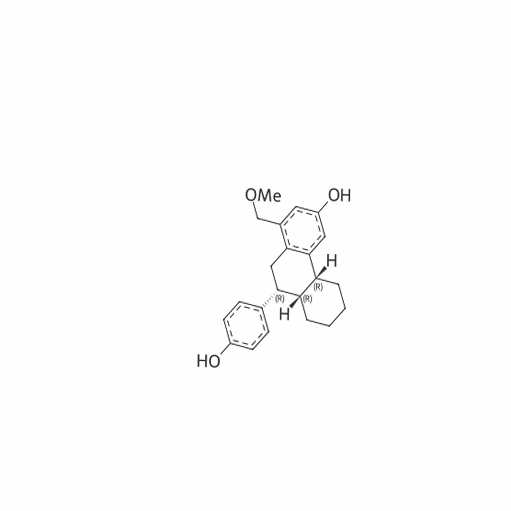 COCc1cc(O)cc2c1C[C@@H](c1ccc(O)cc1)[C@H]1CCCC[C@@H]21